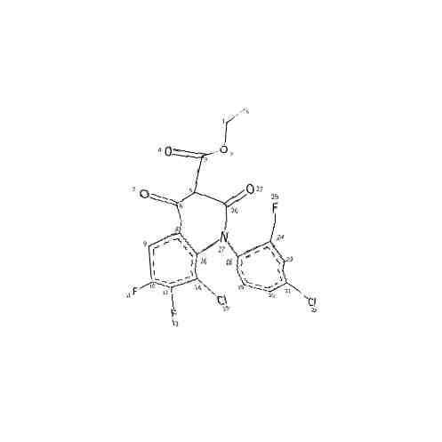 CCOC(=O)C1C(=O)c2cc(F)c(F)c(Cl)c2N(c2ccc(Cl)cc2F)C1=O